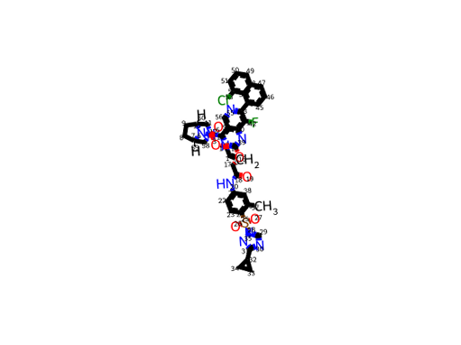 C=CCOC(=O)N1[C@@H]2CC[C@H]1CN(c1nc(OCC(=O)Nc3ccc(S(=O)(=O)n4cnc(C5CC5)n4)c(C)c3)nc3c(F)c(-c4cccc5cccc(Cl)c45)ncc13)C2